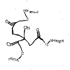 CCCCCCCOC(=O)CC(O)(CC(=O)OCCCCC)C(=O)OCCCCC